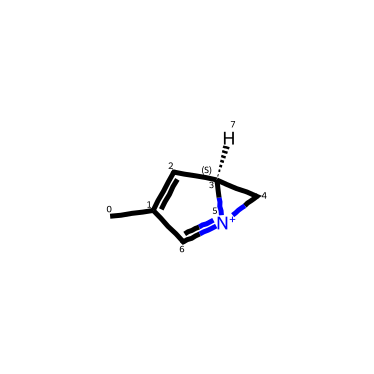 CC1=C[C@H]2C[N+]2=C1